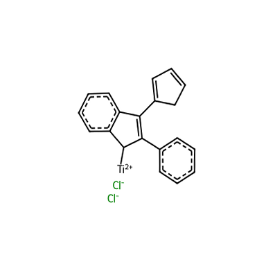 [Cl-].[Cl-].[Ti+2][CH]1C(c2ccccc2)=C(C2=CC=CC2)c2ccccc21